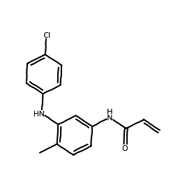 C=CC(=O)Nc1ccc(C)c(Nc2ccc(Cl)cc2)c1